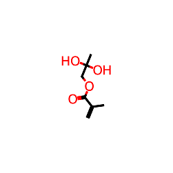 C=C(C)C(=O)OCC(C)(O)O